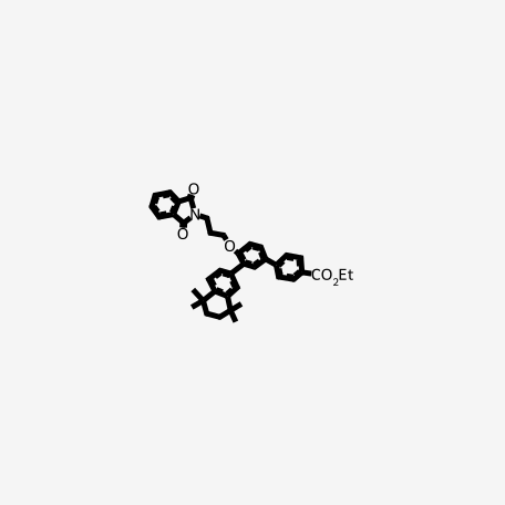 CCOC(=O)c1ccc(-c2ccc(OCCCN3C(=O)c4ccccc4C3=O)c(-c3ccc4c(c3)C(C)(C)CCC4(C)C)c2)cc1